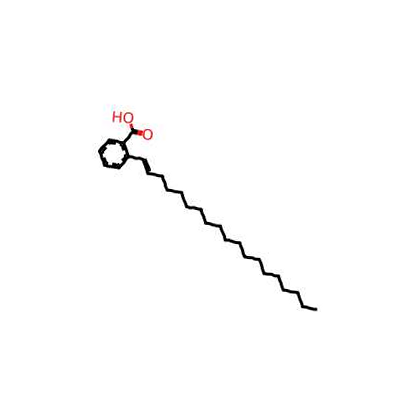 CCCCCCCCCCCCCCCCC/C=C/c1ccccc1C(=O)O